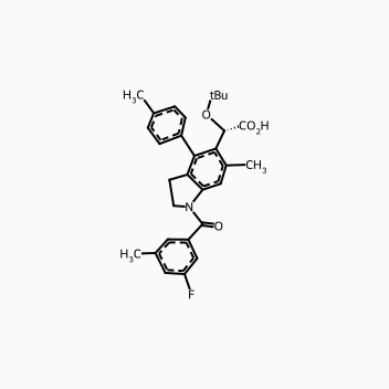 Cc1ccc(-c2c3c(cc(C)c2[C@H](OC(C)(C)C)C(=O)O)N(C(=O)c2cc(C)cc(F)c2)CC3)cc1